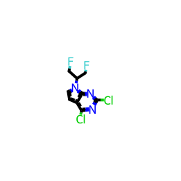 FCC(CF)n1ccc2c(Cl)nc(Cl)nc21